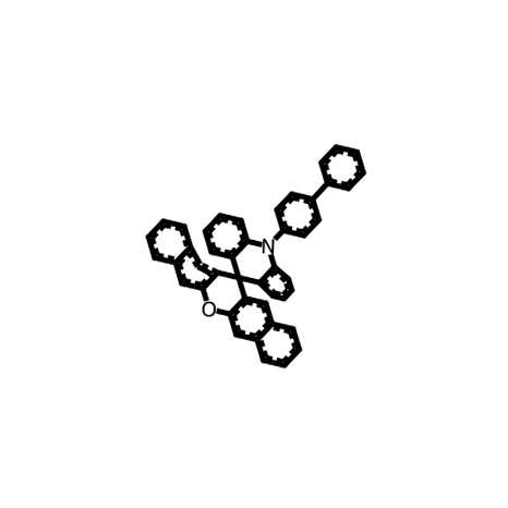 c1ccc(-c2ccc(N3c4ccccc4C4(c5cc6ccccc6cc5Oc5cc6ccccc6cc54)c4ccccc43)cc2)cc1